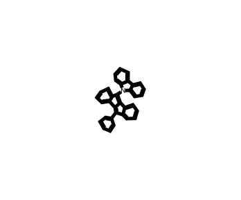 c1ccc(C2=C3C(=C(n4c5ccccc5c5ccccc54)c4ccccc43)c3ccccc32)cc1